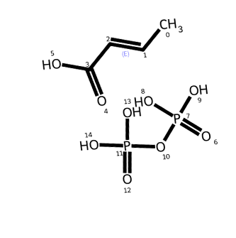 C/C=C/C(=O)O.O=P(O)(O)OP(=O)(O)O